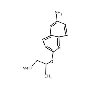 COCC(C)Oc1ccc2cc(N)ccc2n1